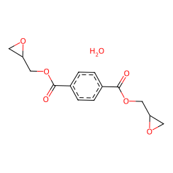 O.O=C(OCC1CO1)c1ccc(C(=O)OCC2CO2)cc1